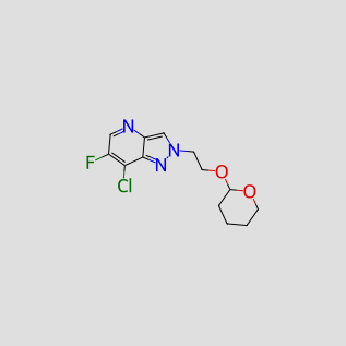 Fc1cnc2cn(CCOC3CCCCO3)nc2c1Cl